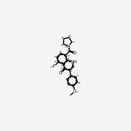 COc1ccc(-c2c[nH]c3c(C(=O)N4CCCC4)ccc(F)c3c2=O)cc1